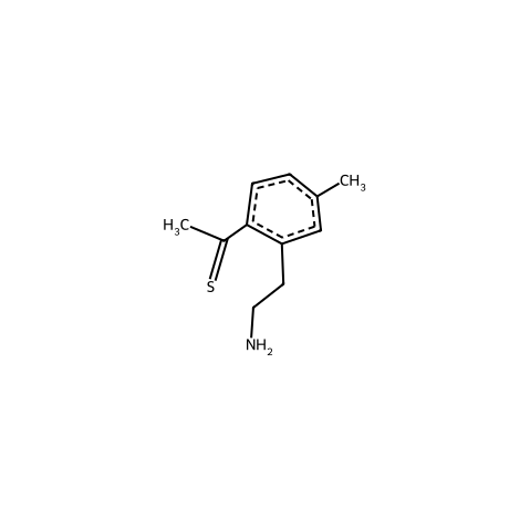 CC(=S)c1ccc(C)cc1CCN